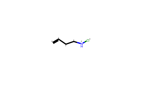 C=CCCNCl